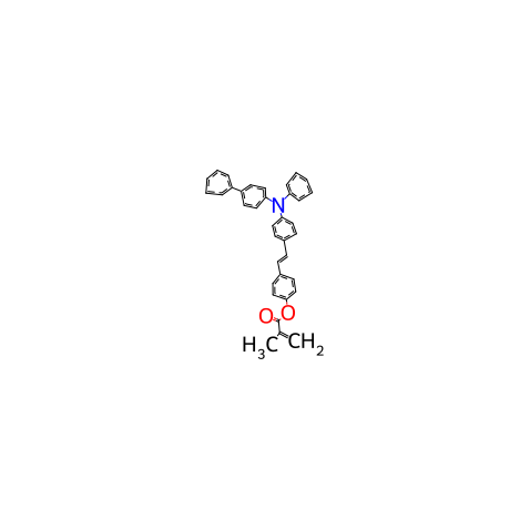 C=C(C)C(=O)Oc1ccc(/C=C/c2ccc(N(c3ccccc3)c3ccc(-c4ccccc4)cc3)cc2)cc1